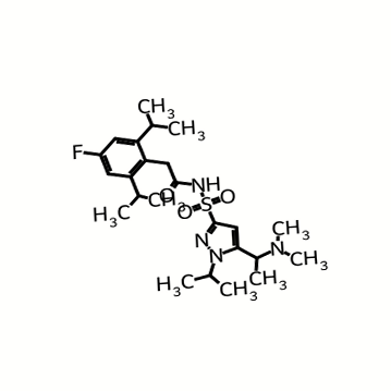 CC(C)c1cc(F)cc(C(C)C)c1CC(=O)NS(=O)(=O)c1cc(C(C)N(C)C)n(C(C)C)n1